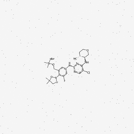 CC1(C)COB(c2c(F)cc(Nc3ncc(Cl)c(N[C@@H]4COCC[C@H]4C#N)n3)cc2CO[Si](C)(C)C(C)(C)C)O1